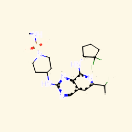 CNS(=O)(=O)N1CCC(Nc2ncc3cc(C(C)F)nc(N[C@@H]4CCCC4(F)F)c3n2)CC1